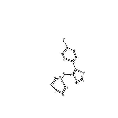 Fc1ccc(-c2ccnn2Cc2ccccc2)cc1